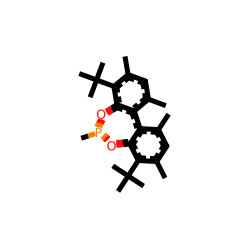 Cc1cc(C)c2c(op(C)oc3c(C(C)(C)C)c(C)cc(C)c32)c1C(C)(C)C